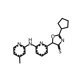 Cc1ccnc(Nc2cccc(C3OC(C4CCCC4)=NC3=S)n2)c1